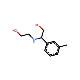 Cc1cccc(C(CO)NCCO)c1